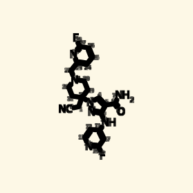 N#CCC1(n2cc(C(N)=O)c(Nc3ccnc(F)c3)n2)CCN(Cc2cccc(F)n2)CC1